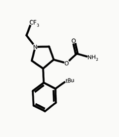 CC(C)(C)c1ccccc1C1CN(CC(F)(F)F)CC1OC(N)=O